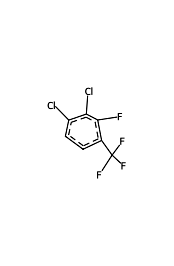 Fc1c(C(F)(F)F)ccc(Cl)c1Cl